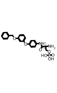 C[C@](N)(COP(=O)(O)O)C(=O)Nc1ccc(Oc2cccc(OCc3ccccc3)c2)cc1